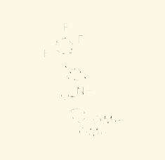 COc1ccc(C(=O)Nc2cn(Cc3cc(F)c(F)cc3F)cn2)cc1OC